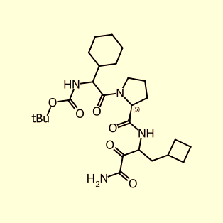 CC(C)(C)OC(=O)NC(C(=O)N1CCC[C@H]1C(=O)NC(CC1CCC1)C(=O)C(N)=O)C1CCCCC1